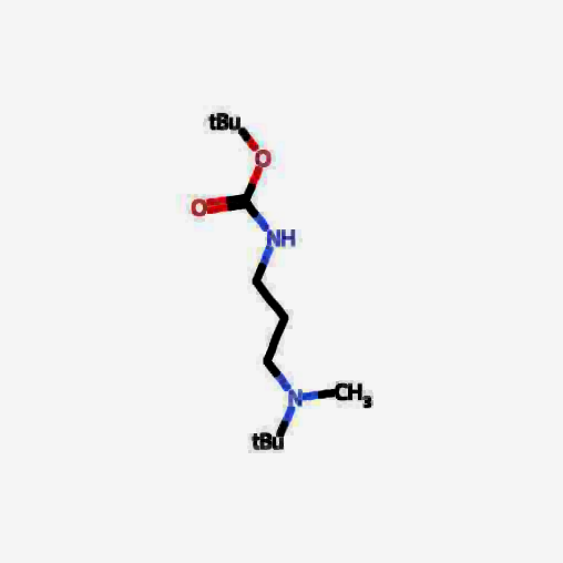 CN(CCCNC(=O)OC(C)(C)C)C(C)(C)C